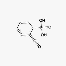 O=C=C1C=CC=CC1P(=O)(O)O